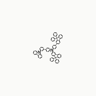 c1ccc(C2(c3ccccc3)c3ccccc3-c3cc(N(c4ccc(-c5cccc(-n6c7ccccc7c7ccccc76)c5)cc4)c4ccc(-c5ccc6c(c5)C(c5ccccc5)(c5ccccc5)c5ccccc5-6)cc4)ccc32)cc1